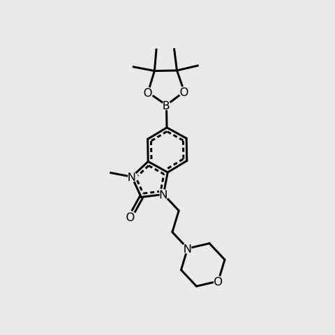 Cn1c(=O)n(CCN2CCOCC2)c2ccc(B3OC(C)(C)C(C)(C)O3)cc21